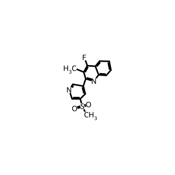 Cc1c(-c2cncc(S(C)(=O)=O)c2)nc2ccccc2c1F